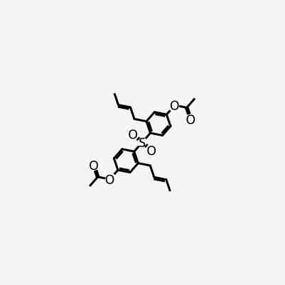 CC=CCc1cc(OC(C)=O)ccc1S(=O)(=O)c1ccc(OC(C)=O)cc1CC=CC